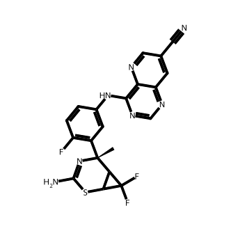 C[C@]1(c2cc(Nc3ncnc4cc(C#N)cnc34)ccc2F)N=C(N)SC2C1C2(F)F